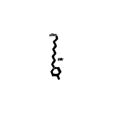 Br.CCCCCCCCCCCCCCCCCCN1C=CC(C)=CC1